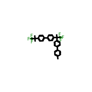 Cc1ccc(-c2ccc(C(C)(c3ccc(-c4ccc(C(C)(C)C(F)(F)F)cc4)cc3)C(F)(F)F)cc2)cc1